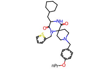 CCCOc1ccc(CN2CCC3(CC2)C(=O)NC(CC2CCCCC2)C(=O)N3Cc2cccs2)cc1